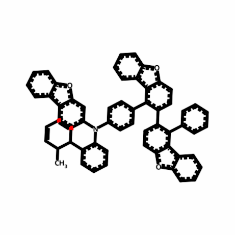 CC1C=CC=CC1c1ccccc1N(c1ccc(-c2c(-c3ccc4oc5ccccc5c4c3-c3ccccc3)ccc3oc4ccccc4c23)cc1)c1ccc2c(c1)oc1ccccc12